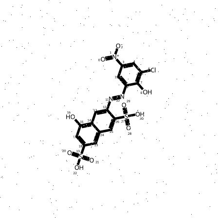 O=[N+]([O-])c1cc(Cl)c(O)c(N=Nc2cc3c(O)cc(S(=O)(=O)O)cc3cc2S(=O)(=O)O)c1